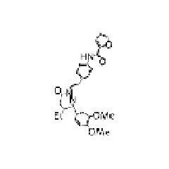 CCC1CC(=O)N(CCc2ccc(NC(=O)c3ccco3)cc2)N=C1c1ccc(OC)c(OC)c1